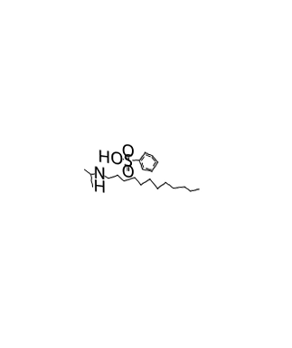 CCCCCCCCCCCCNC(C)C.O=S(=O)(O)c1ccccc1